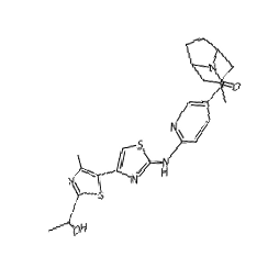 Cc1nc(C(C)O)sc1-c1csc(Nc2ccc(C(=O)N3C4CCC3CC(C)C4)cn2)n1